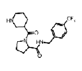 O=C(NCc1ccc(C(F)(F)F)cc1)C1CCCN1C(=O)C1CCCNC1